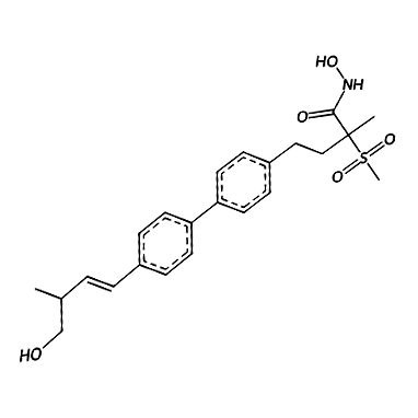 CC(C=Cc1ccc(-c2ccc(CCC(C)(C(=O)NO)S(C)(=O)=O)cc2)cc1)CO